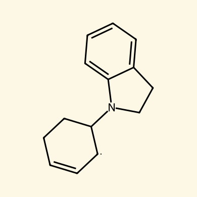 [CH]1C=CCCC1N1CCc2ccccc21